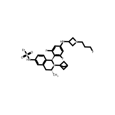 CCS(=O)(=O)Nc1ccc2c(c1)C[C@@H](C)N(C13CC(C1)C3)[C@@H]2c1c(F)cc(NC2CN(CCCF)C2)cc1F